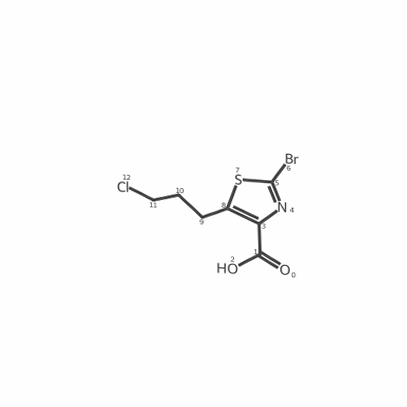 O=C(O)c1nc(Br)sc1CCCCl